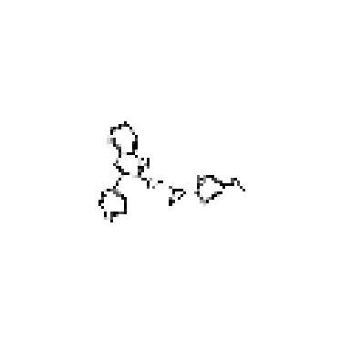 COc1ccc([C@H]2C[C@@H]2COc2nc3cccnc3cc2-c2ccncc2)nc1